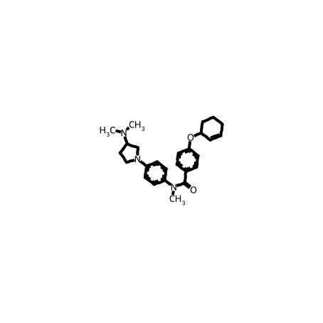 CN(C(=O)c1ccc(OC2C=CCCC2)cc1)c1ccc(N2CCC(N(C)C)C2)cc1